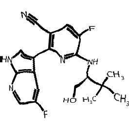 CC(C)(C)[C@@H](CO)Nc1nc(-c2c[nH]c3ncc(F)cc23)c(C#N)cc1F